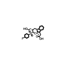 CN([C@H](CCO)Cn1cc(CC(=O)O)c2ccccc21)S(=O)(=O)c1ccc(F)cc1